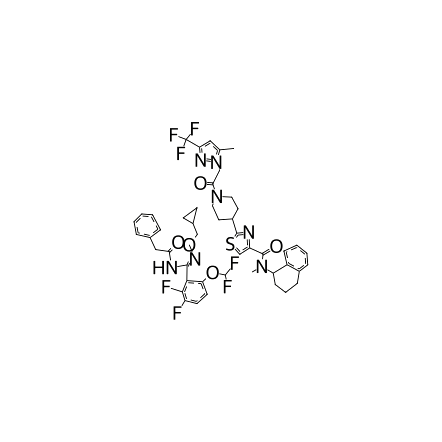 Cc1cc(C(F)(F)F)nn1CC(=O)N1CCC(c2nc(C(=O)N(C)C3CCCc4ccccc43)cs2)CC1.O=C(Cc1ccccc1)N/C(=N\OCC1CC1)c1c(OC(F)F)ccc(F)c1F